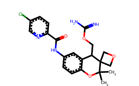 CC1(C)Oc2ccc(NC(=O)c3ccc(Cl)cn3)cc2C(COC(=N)N)C12COC2